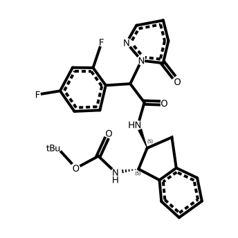 CC(C)(C)OC(=O)N[C@H]1c2ccccc2C[C@@H]1NC(=O)C(c1ccc(F)cc1F)n1ncccc1=O